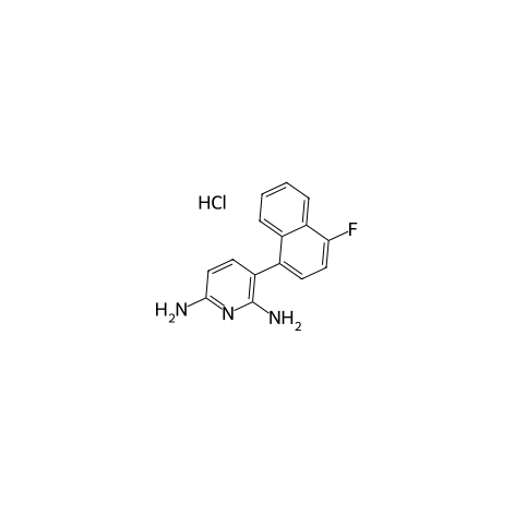 Cl.Nc1ccc(-c2ccc(F)c3ccccc23)c(N)n1